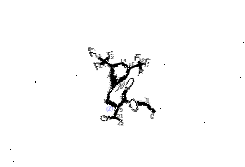 CCOC(=O)/C(=C\c1cc(C(F)(F)F)cc(C(F)(F)F)c1)C(C)=O